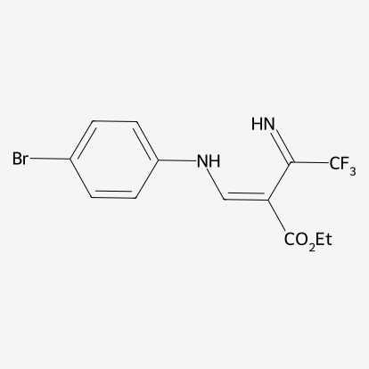 CCOC(=O)/C(=C/Nc1ccc(Br)cc1)C(=N)C(F)(F)F